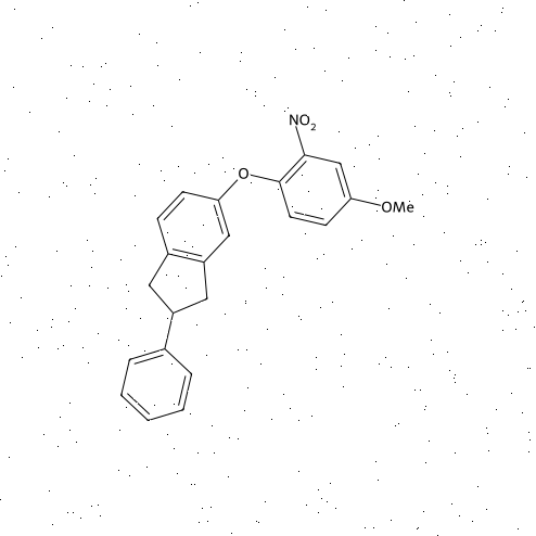 COc1ccc(Oc2ccc3c(c2)CC(c2ccccc2)C3)c([N+](=O)[O-])c1